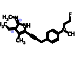 C/C=C1/C(C)=C(C#CCc2ccc(N(C)CCF)cc2)N/C1=N/C